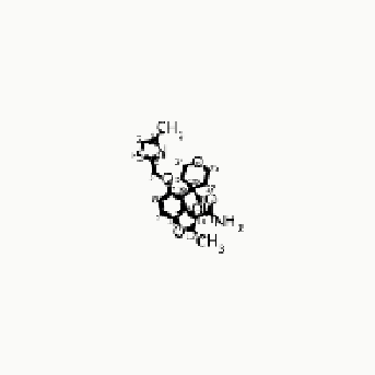 Cc1csc(COc2ccc3oc(C)c(C(N)=O)c3c2C2(CO)CCOCC2)n1